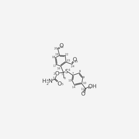 CC(OC(N)=O)(Sc1ccc(C(=O)O)cc1)c1ccc(C=O)cc1C=O